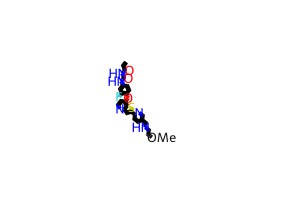 C=CC(=O)NC(=O)Nc1ccc(Oc2ccnc3cc(-c4ccc(CNCCOC)cn4)sc23)c(F)c1